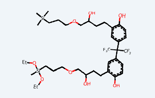 CCO[Si](C)(CCCOCC(O)CCc1cc(C(c2ccc(O)c(CCC(O)COCCC[Si](C)(C)C)c2)(C(F)(F)F)C(F)(F)F)ccc1O)OCC